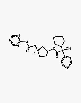 C[N@@+]1(CC(=O)Nc2ncncn2)CCC(OC(=O)C(O)(c2ccccc2)C2CCCCC2)C1